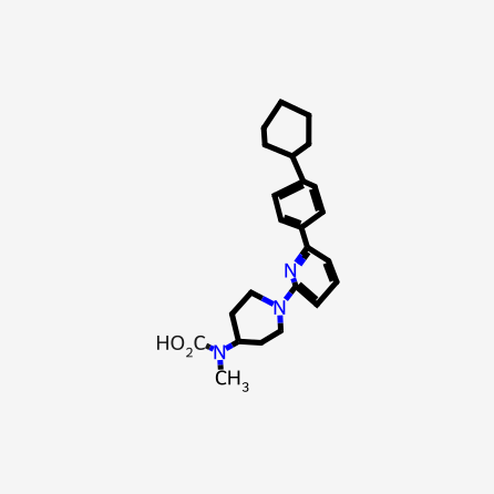 CN(C(=O)O)C1CCN(c2cccc(-c3ccc(C4CCCCC4)cc3)n2)CC1